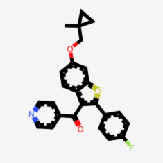 CC1(COc2ccc3c(C(=O)c4ccncc4)c(-c4ccc(F)cc4)sc3c2)CC1